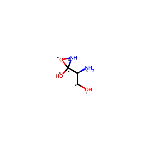 N[C@@H](CO)C1(O)NO1